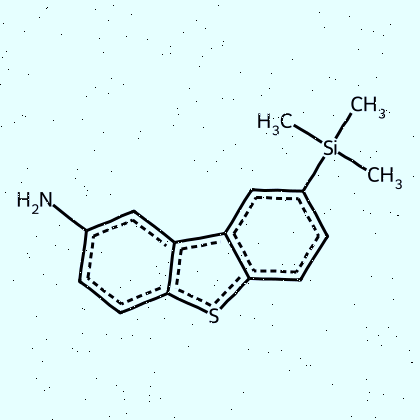 C[Si](C)(C)c1ccc2sc3ccc(N)cc3c2c1